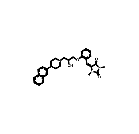 CN1C(=O)C(=Cc2ccccc2OCC(O)CN2CCC(c3ccc4ccccc4c3)CC2)N(C)C1=O